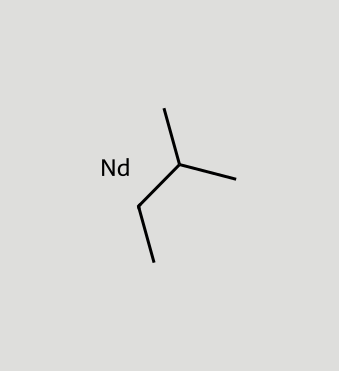 CCC(C)C.[Nd]